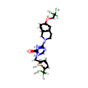 O=c1nc(N2CCc3cc(OCC(F)(F)F)ccc3C2)ncn1Cc1ccc(C(F)(F)F)s1